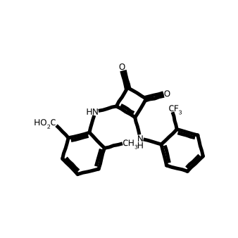 Cc1cccc(C(=O)O)c1Nc1c(Nc2ccccc2C(F)(F)F)c(=O)c1=O